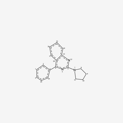 c1ccc(-c2nc(N3CCCC3)nc3ccccc23)cc1